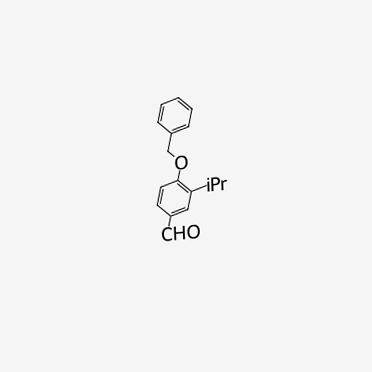 CC(C)c1cc(C=O)ccc1OCc1ccccc1